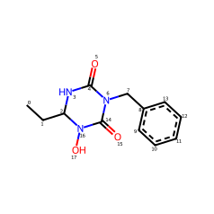 CCC1NC(=O)N(Cc2ccccc2)C(=O)N1O